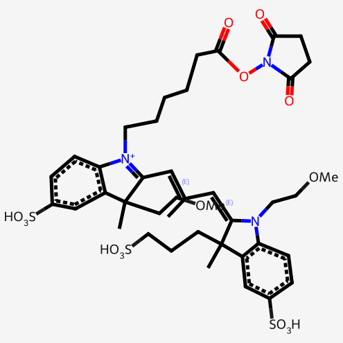 COCCN1/C(=C/C(C)=C/C2=[N+](CCCCCC(=O)ON3C(=O)CCC3=O)c3ccc(S(=O)(=O)O)cc3C2(C)CCOC)C(C)(CCCS(=O)(=O)O)c2cc(S(=O)(=O)O)ccc21